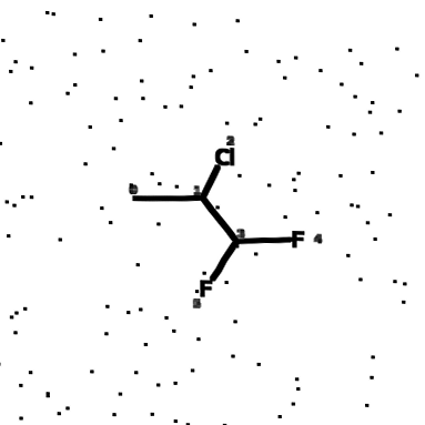 CC(Cl)[C](F)F